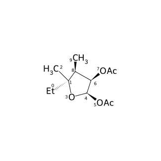 CC[C@@]1(C)O[C@H](OC(C)=O)[C@H](OC(C)=O)[C@@H]1C